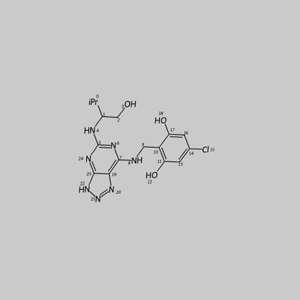 CC(C)C(CO)Nc1nc(NCc2c(O)cc(Cl)cc2O)c2nn[nH]c2n1